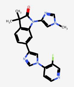 Cn1cnc(N2C(=O)C(C)(C)c3ccc(-c4cn(-c5ccncc5F)cn4)cc32)c1